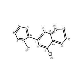 Fc1ccccc1-c1cc(Cl)c2cccnc2n1